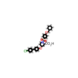 O=C(O)[C@H]1C[C@H](Oc2ccc(-c3ccc(Cl)cc3)cc2)CCN1S(=O)(=O)c1ccc(OCC2CCCCC2)cc1